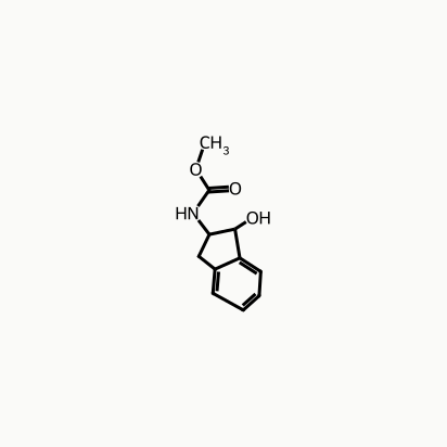 COC(=O)NC1Cc2ccccc2C1O